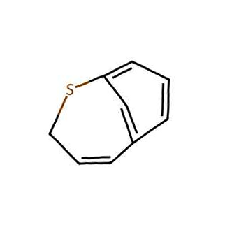 C1=Cc2cccc(c2)SC1